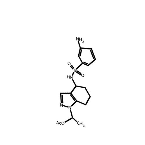 CC(=O)OC(C)n1ncc2c1CCCC2NS(=O)(=O)c1cccc(N)c1